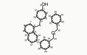 Oc1ccc(Cc2cccc3ccccc23)cc1.c1ccc(COCc2ccccc2)cc1